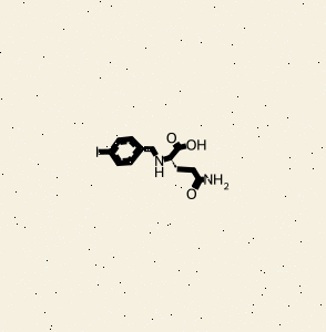 NC(=O)CC[C@H](NCc1ccc(I)cc1)C(=O)O